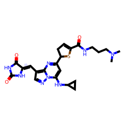 CN(C)CCCNC(=O)C1=CCC(c2cc(NC3CC3)n3ncc(/C=C4\NC(=O)NC4=O)c3n2)S1